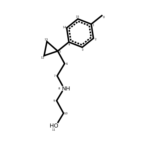 Cc1ccc(C2(CCNCCO)CC2)cc1